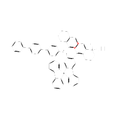 CC1(C)CCCc2c(-c3cc4c(cc3N(c3ccc(-c5ccc(-c6ccccc6)cc5)cc3)c3cccc5c3CCCC5)C3(c5ccccc5-c5ccccc53)c3ccccc3-4)cccc21